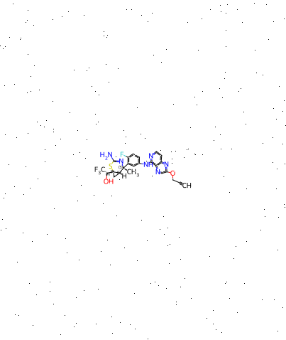 C#CCOc1cnc2c(Nc3ccc(F)c([C@@]4(C)N=C(N)S[C@]5([C@H](O)C(F)(F)F)C[C@H]54)c3)nccc2n1